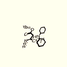 C1CCC(NC2CCCCC2)CC1.CC(C)(C)OC(=O)CC(N=[N+]=[N-])C(=O)O